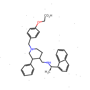 C[C@@H](NCC1CCN(Cc2ccc(OCC(=O)O)cc2)CC1c1ccccc1)c1cccc2ccccc12